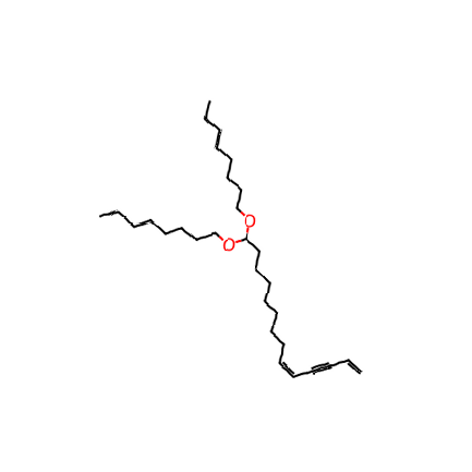 C=CC#C/C=C\CCCCCCCC(OCCCCCCCC)OCCCCCCCC